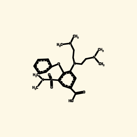 CN(C)CCN(CCN(C)C)c1cc(C(=O)O)cc(S(=O)(=O)N(C)C)c1Oc1ccccc1